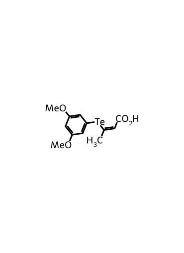 COc1cc(OC)cc([Te]/C(C)=C\C(=O)O)c1